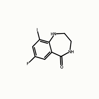 O=C1NCCNc2c(I)cc(F)cc21